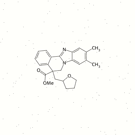 COC(=O)C1(CC2CCCO2)Cn2c(nc3cc(C)c(C)cc32)-c2ccccc21